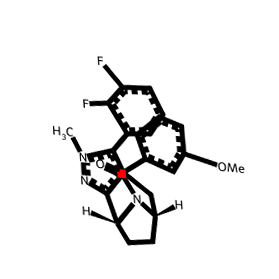 COc1cccc(C(=O)N2[C@H]3CC[C@@H]2c2nn(C)c(-c4cccc(F)c4F)c2C3)c1